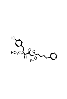 CCOP(=O)(CCCCc1ccccc1)CC(=O)N[C@@H](Cc1ccc(O)cc1)C(=O)O